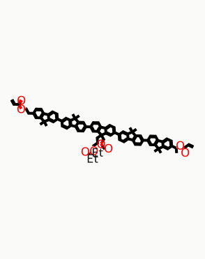 C=CC(=O)OCCc1ccc2c(c1)C(C)(C)c1cc(-c3ccc4c(c3)C(C)(C)c3cc(-c5ccc6c(c5)C(CCCOC(=O)CC)(COC(=O)CC)c5cc(-c7ccc8c(c7)C(C)(C)c7cc(-c9ccc%10c(c9)C(C)(C)c9cc(C(C)OC(=O)C=C)ccc9-%10)ccc7-8)ccc5-6)ccc3-4)ccc1-2